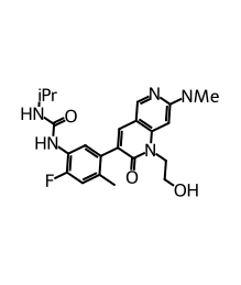 CNc1cc2c(cn1)cc(-c1cc(NC(=O)NC(C)C)c(F)cc1C)c(=O)n2CCO